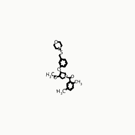 COC1CN(C(=O)c2cc(C)ccc2C)CC1Oc1cccc(CSN2CCOCC2)c1